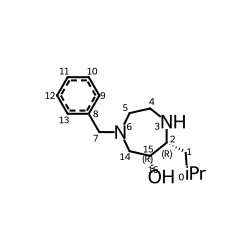 CC(C)C[C@H]1NCCN(Cc2ccccc2)C[C@H]1O